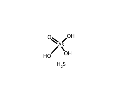 O=[As](O)(O)O.S